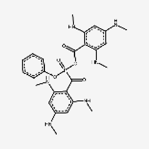 CNc1cc(NC)c(C(=O)OP(=O)(Oc2ccccc2)C(=O)c2c(NC)cc(NC)cc2NC)c(NC)c1